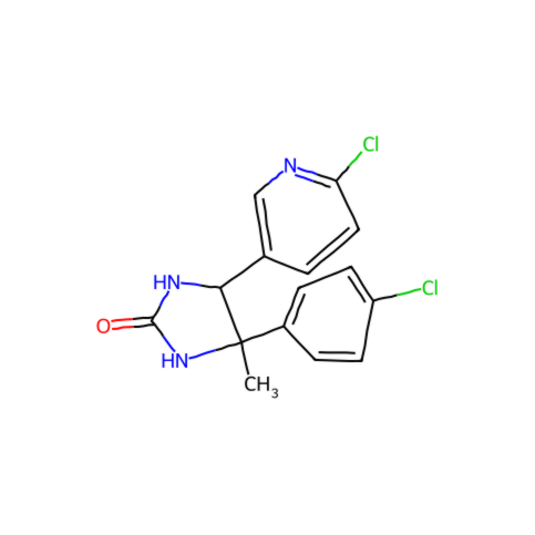 CC1(c2ccc(Cl)cc2)NC(=O)NC1c1ccc(Cl)nc1